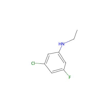 CCNc1cc(F)cc(Cl)c1